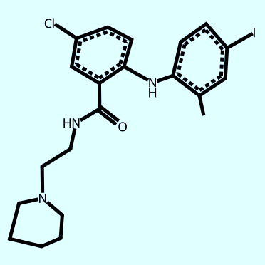 Cc1cc(I)ccc1Nc1ccc(Cl)cc1C(=O)NCCN1CCCCC1